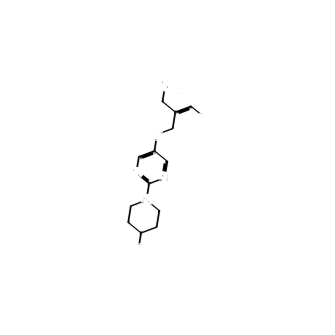 NC/C(=C/F)COc1cnc(N2CCC(O)CC2)nc1